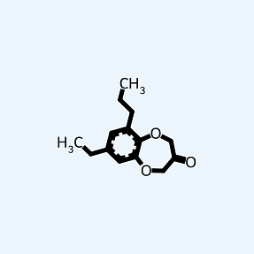 CCCc1cc(CC)cc2c1OCC(=O)CO2